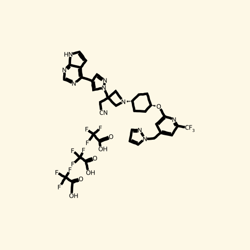 N#CCC1(n2cc(-c3ncnc4[nH]ccc34)cn2)CN([C@H]2CC[C@@H](Oc3cc(Cn4cccn4)cc(C(F)(F)F)n3)CC2)C1.O=C(O)C(F)(F)F.O=C(O)C(F)(F)F.O=C(O)C(F)(F)F